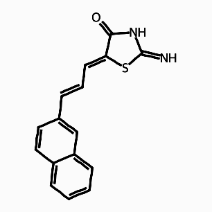 N=C1NC(=O)C(=CC=Cc2ccc3ccccc3c2)S1